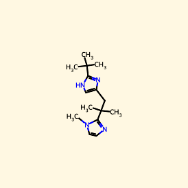 Cn1ccnc1C(C)(C)Cc1c[nH]c(C(C)(C)C)n1